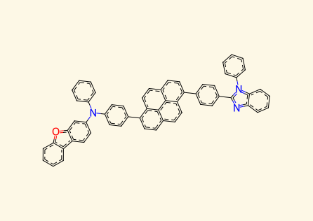 c1ccc(N(c2ccc(-c3ccc4ccc5c(-c6ccc(-c7nc8ccccc8n7-c7ccccc7)cc6)ccc6ccc3c4c65)cc2)c2ccc3c(c2)oc2ccccc23)cc1